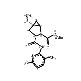 Cc1ccc(Br)nc1NC(=O)[C@@H]1C[C@@]2(CN)CC2N1C(=O)OC(C)(C)C